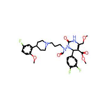 COCC1=C(C(=O)OC)C(c2ccc(F)c(F)c2)N(N(C=O)CCCN2CCC(c3cc(F)ccc3OC)CC2)C(=O)N1